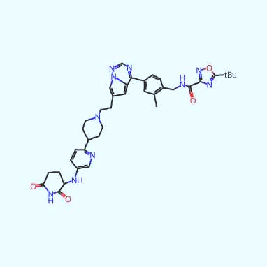 Cc1cc(-c2ncnn3cc(CCN4CCC(c5ccc(NC6CCC(=O)NC6=O)cn5)CC4)cc23)ccc1CNC(=O)c1noc(C(C)(C)C)n1